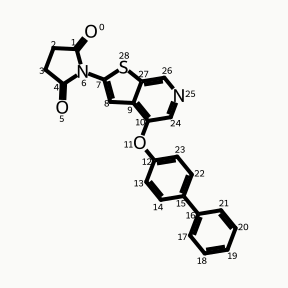 O=C1CCC(=O)N1c1cc2c(Oc3ccc(-c4ccccc4)cc3)cncc2s1